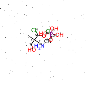 CC(C)(CO)C(Cl)OCl.N#CN.O=P(O)(O)O